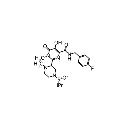 CC(C)[S+]([O-])N1CCN(C)C(c2nc(C(=O)NCc3ccc(F)cc3)c(O)c(=O)n2C)C1